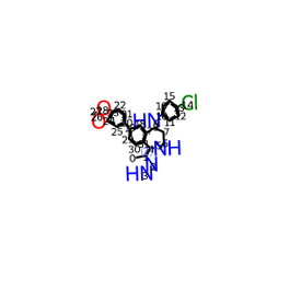 C/C(N=N)=C1/NCCC(Nc2ccc(Cl)cc2)c2cc(-c3ccc4c(c3)OCO4)ccc21